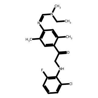 CCN(C)/C=N\c1cc(C)c(C(=O)CNc2c(F)cccc2Cl)cc1C